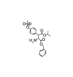 CC(C)OC(=O)C(c1ccc(OS(C)(=O)=O)cc1)C(N)C(=O)OCc1ccccc1